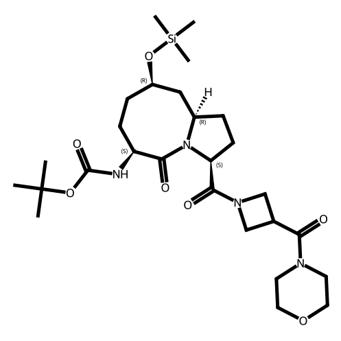 CC(C)(C)OC(=O)N[C@H]1CC[C@@H](O[Si](C)(C)C)C[C@H]2CC[C@@H](C(=O)N3CC(C(=O)N4CCOCC4)C3)N2C1=O